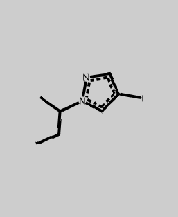 CCC(C)n1[c]c(I)cn1